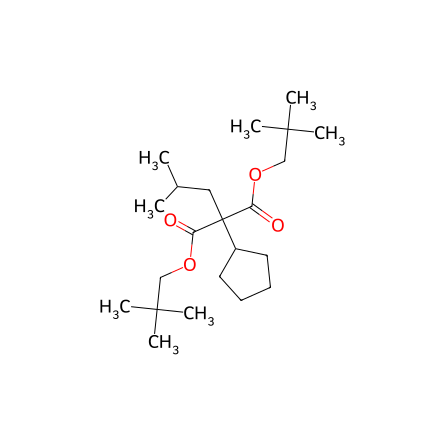 CC(C)CC(C(=O)OCC(C)(C)C)(C(=O)OCC(C)(C)C)C1CCCC1